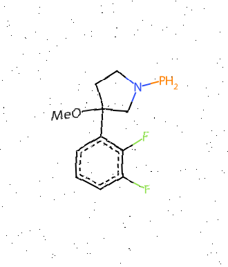 COC1(c2cccc(F)c2F)CCN(P)C1